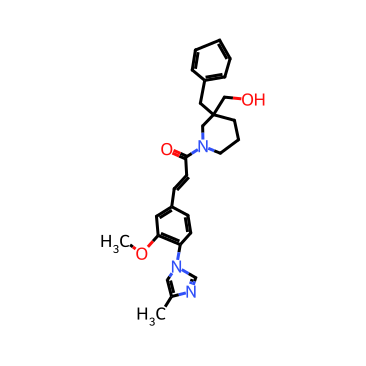 COc1cc(C=CC(=O)N2CCCC(CO)(Cc3ccccc3)C2)ccc1-n1cnc(C)c1